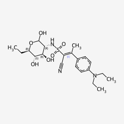 CC[C@H]1OC(O)[C@H](NS(=O)(=O)/C(C#N)=C(\C)c2ccc(N(CC)CC)cc2)[C@@H](O)[C@@H]1O